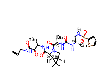 C=CCNC(=O)C(=O)C(CCCC)NC(=O)[C@@H]1[C@@H]2[C@H](CN1C(=O)[C@@H](NC(=O)N[C@H](CN(CC)S(=O)(=O)c1cccs1)C(C)(C)C)C(C)(C)C)C2(C)C